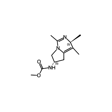 COC(=O)N[C@H]1CC2=C(C)[C@H](C)N=C(C)N2C1